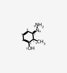 CC1C(O)=CC=CC1=NN